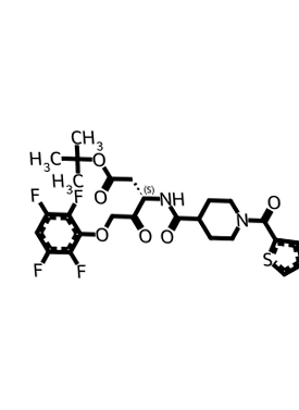 CC(C)(C)OC(=O)C[C@H](NC(=O)C1CCN(C(=O)c2cccs2)CC1)C(=O)COc1c(F)c(F)cc(F)c1F